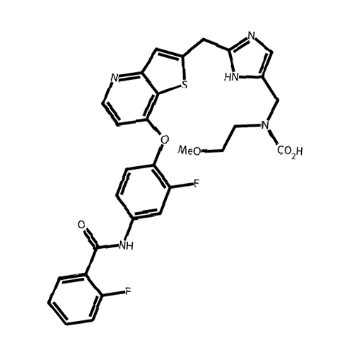 COCCN(Cc1cnc(Cc2cc3nccc(Oc4ccc(NC(=O)c5ccccc5F)cc4F)c3s2)[nH]1)C(=O)O